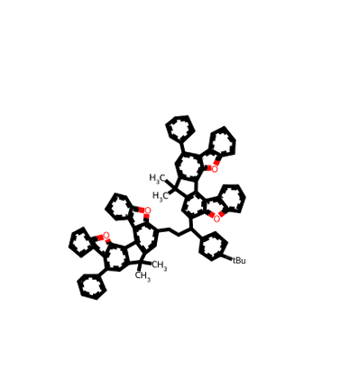 CC(C)(C)c1ccc(C(CCc2cc3c(c4c2oc2ccccc24)-c2c(cc(-c4ccccc4)c4c2oc2ccccc24)C3(C)C)c2cc3c(c4c2oc2ccccc24)-c2c(cc(-c4ccccc4)c4c2oc2ccccc24)C3(C)C)cc1